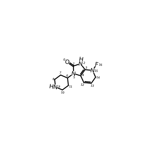 O=c1[nH]c2c(n1C1CCNCC1)C=CCN2F